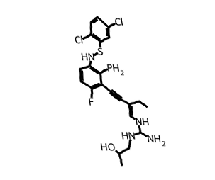 CC/C(C#Cc1c(F)ccc(NSc2cc(Cl)ccc2Cl)c1P)=C\NC(N)NCC(C)O